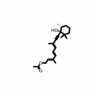 CC(=O)OCC=C(C)C=CC=C(C)C#C[C@]1(O)[C@H](C)CCCC1(C)C